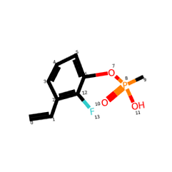 C=Cc1cccc(OP(C)(=O)O)c1F